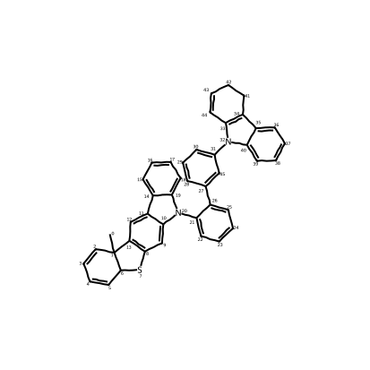 CC12C=CC=CC1Sc1cc3c(cc12)c1ccccc1n3-c1ccccc1-c1cccc(-n2c3c(c4ccccc42)CCC=C3)c1